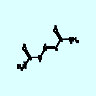 NC(=O)C=NOC(N)=O